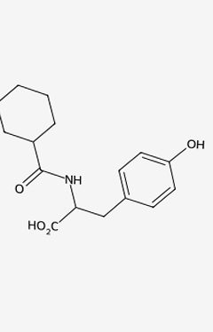 O=C(NC(Cc1ccc(O)cc1)C(=O)O)C1CCCCC1